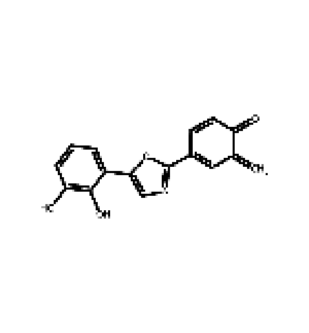 C=C1C=C(c2ncc(-c3cccc(O)c3O)o2)C=CC1=O